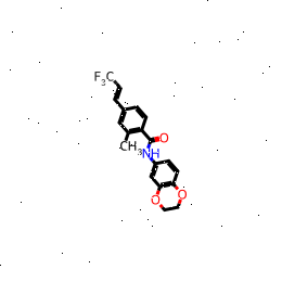 Cc1cc(C=CC(F)(F)F)ccc1C(=O)Nc1ccc2c(c1)OCCO2